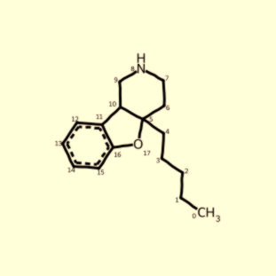 CCCCCC12CCNCC1c1ccccc1O2